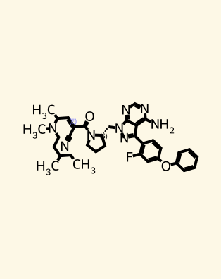 CCC(C)CCN(C)C(C)/C=C(\C#N)C(=O)N1CCC[C@H]1Cn1nc(-c2ccc(Oc3ccccc3)cc2F)c2c(N)ncnc21